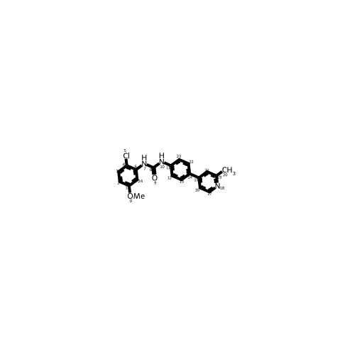 COc1ccc(Cl)c(NC(=O)Nc2ccc(-c3ccnc(C)c3)cc2)c1